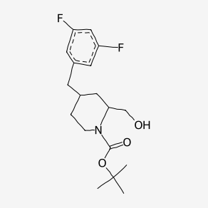 CC(C)(C)OC(=O)N1CCC(Cc2cc(F)cc(F)c2)CC1CO